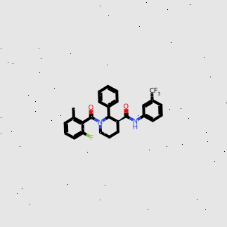 Cc1cccc(F)c1C(=O)N1CCC[C@H](C(=O)Nc2cccc(C(F)(F)F)c2)C1c1ccccc1